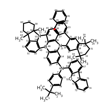 CC(C)(C)c1ccc(N(c2ccc3c(c2)N(c2cc4c(cc2-c2ccccc2)C(C)(C)CCC4(C)C)c2cc(-c4ccccc4)cc4c2B3c2cccc3c2N4C2(C)CCCCC32C)c2cccc3c2oc2ccccc23)cc1